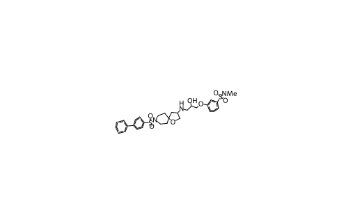 CNS(=O)(=O)c1cccc(OCC(O)CNC2COC3(CCN(S(=O)(=O)c4ccc(-c5ccccc5)cc4)CC3)C2)c1